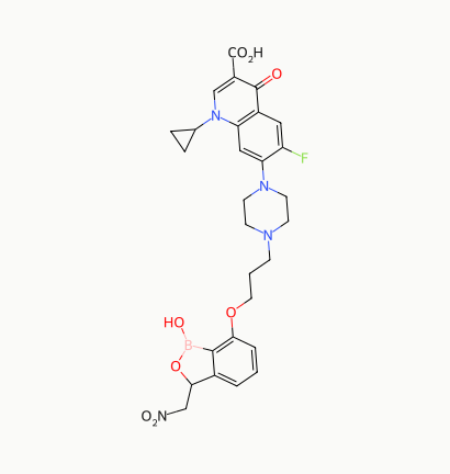 O=C(O)c1cn(C2CC2)c2cc(N3CCN(CCCOc4cccc5c4B(O)OC5C[N+](=O)[O-])CC3)c(F)cc2c1=O